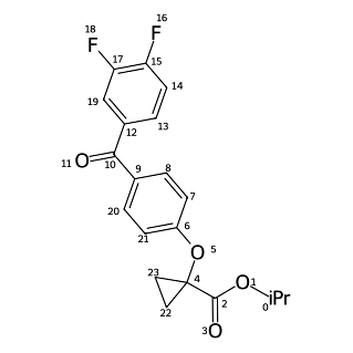 CC(C)OC(=O)C1(Oc2ccc(C(=O)c3ccc(F)c(F)c3)cc2)CC1